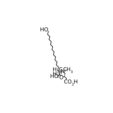 C[N+](C)(C)C[C@@H](CC(=O)O)OC(O)CCCCCCCCCCCCCCCCCO